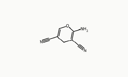 N#CC1=COC(N)=C(C#N)C1